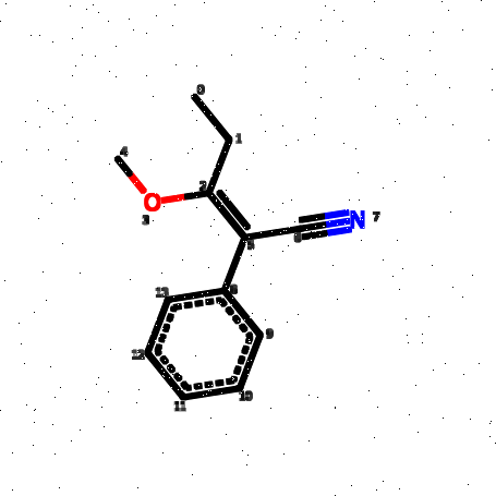 CCC(OC)=C(C#N)c1ccccc1